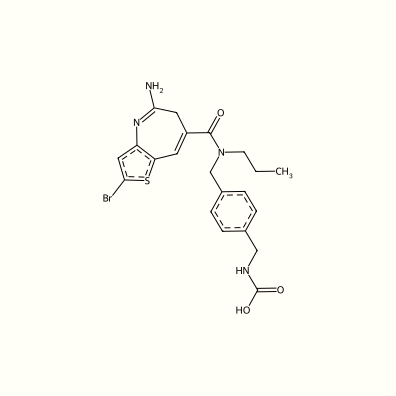 CCCN(Cc1ccc(CNC(=O)O)cc1)C(=O)C1=Cc2sc(Br)cc2N=C(N)C1